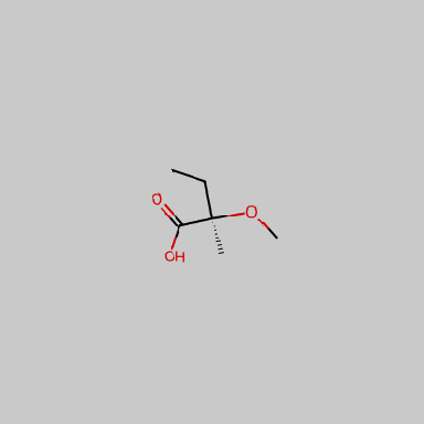 CC[C@@](C)(OC)C(=O)O